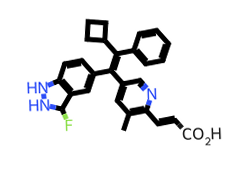 Cc1cc(/C(=C(\c2ccccc2)C2CCC2)c2ccc3c(c2)C(F)NN3)cnc1/C=C/C(=O)O